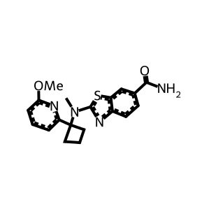 COc1cccc(C2(N(C)c3nc4ccc(C(N)=O)cc4s3)CCC2)n1